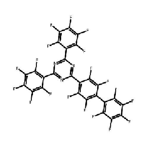 Cc1c(F)c(F)c(F)c(F)c1-c1c(F)c(F)c(-c2nc(-c3c(F)c(F)c(F)c(F)c3F)nc(-c3c(F)c(F)c(F)c(F)c3F)n2)c(F)c1F